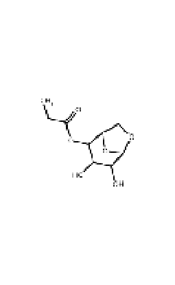 CCC(=O)OC1C2COC(O2)C(O)C1O